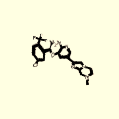 C[C@@H](Oc1cc(-c2cn3c(n2)CN(C)CC3)cnc1N)c1cc(Cl)ccc1C(F)(F)F